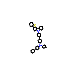 c1ccc(-c2ccc(N(c3ccccc3)c3ccc(-c4ccc(-n5c6ccccc6c6c7sc8ccccc8c7ccc65)cc4)cc3)cc2)cc1